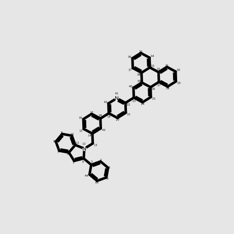 c1ccc(-c2cc3ccccc3n2Cc2cccc(-c3ccc(-c4ccc5c6ccccc6c6ccccc6c5c4)nc3)c2)cc1